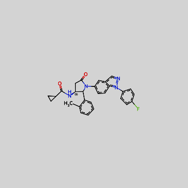 Cc1ccccc1C1[C@@H](NC(=O)C2CC2)CC(=O)N1c1ccc2c(cnn2-c2ccc(F)cc2)c1